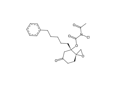 CC(=O)N(Cl)C(=O)O[C@@]1(CCCCCc2ccccc2)CC(=O)CC[C@]12CO2